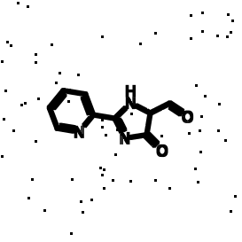 O=CC1NC(c2ccccn2)=NC1=O